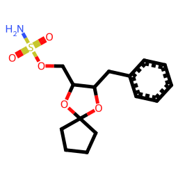 NS(=O)(=O)OCC1OC2(CCCC2)OC1Cc1ccccc1